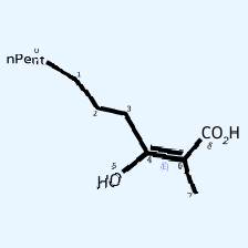 CCCCCCCC/C(O)=C(/C)C(=O)O